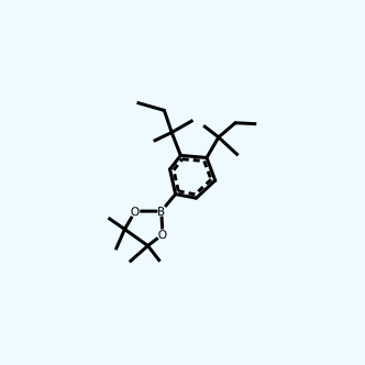 CCC(C)(C)c1ccc(B2OC(C)(C)C(C)(C)O2)cc1C(C)(C)CC